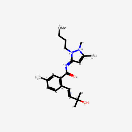 COCCCn1c(=NC(=O)c2cc(C(F)(F)F)ccc2/C=C/C(C)(C)O)cc(C(C)(C)C)n1C